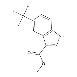 COC(=O)c1c[nH]c2ccc(C(F)(F)F)cc12